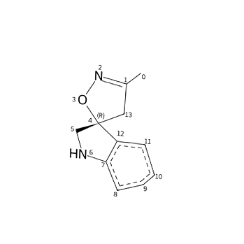 CC1=NO[C@]2(CNc3ccccc32)C1